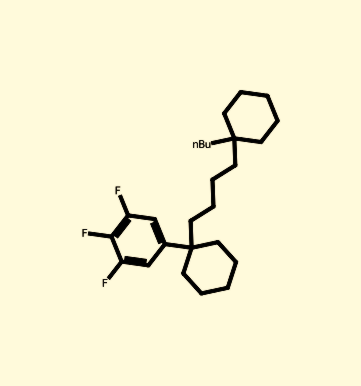 CCCCC1(CCCCC2(c3cc(F)c(F)c(F)c3)CCCCC2)CCCCC1